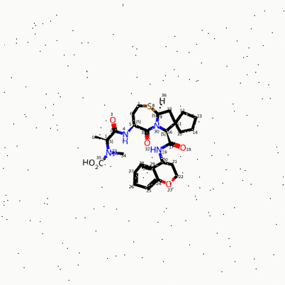 C[C@@H](C(=O)N[C@H]1CCS[C@H]2CC3(CCCC3)[C@@H](C(=O)NC3CCOc4ccccc43)N2C1=O)N(C)C(=O)O